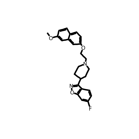 COc1ccc2ccc(OCCN3CCC(c4noc5cc(F)ccc45)CC3)cc2c1